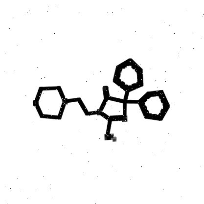 NC1=NC(c2ccccc2)(c2ccccc2)C(=O)N1CCN1CCOCC1